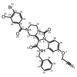 N#CCOc1ccc(-n2c(C(=O)NCc3ccccc3)c3n(c2=O)CCN(C(=O)c2ccc(Br)c(Cl)c2)C3)cc1